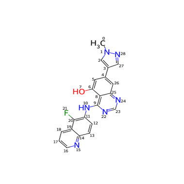 Cn1cc(-c2cc(O)c3c(Nc4ccc5ncccc5c4F)ncnc3c2)cn1